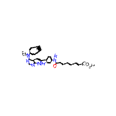 CCN(c1ccccc1)c1ncnc2[nH]c(-c3ccc(NC(=O)CCCCCCC(=O)O)cc3)cc12